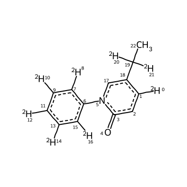 [2H]c1cc(=O)n(-c2c([2H])c([2H])c([2H])c([2H])c2[2H])cc1C([2H])([2H])C